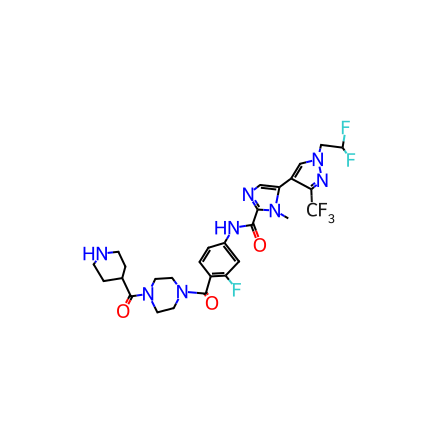 Cn1c(-c2cn(CC(F)F)nc2C(F)(F)F)cnc1C(=O)Nc1ccc(C(=O)N2CCN(C(=O)C3CCNCC3)CC2)c(F)c1